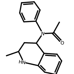 CC(=O)N(c1ccccc1)C1CC(C)Nc2ccccc21